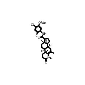 COc1cc(NC(=O)C2CC[C@H]3[C@@H]4CC(C)=C5N(C)C(=O)CC[C@]5(C)[C@@H]4CC[C@]23C)c(Cl)cc1Cl